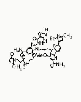 CCc1nc(C)oc1C(=O)Nc1nc2cc(C(N)=O)cc(OCCCN(C)C(=O)CCN3C(=O)C=CC3=O)c2n1C/C=C/Cn1c2nc(-c3cc(C)nn3CC)ccc2c2nc(C(N)=O)cc(OC)c21